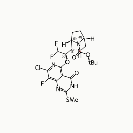 CSc1nc2c(F)c(Cl)nc(O[C@@H](C(F)F)[C@H]3NC[C@H]4CC[C@@H]3N4C(=O)OC(C)(C)C)c2c(=O)[nH]1